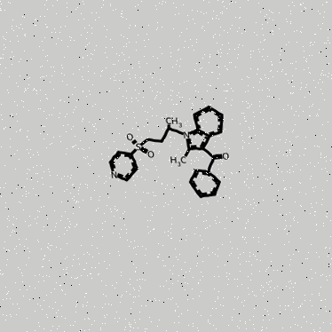 Cc1c(C(=O)c2ccccc2)c2ccccc2n1C(C)CCS(=O)(=O)c1ccncc1